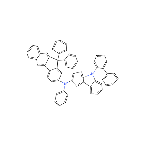 c1ccc(-c2ccccc2-n2c3ccccc3c3cc(N(c4ccccc4)c4ccc5c(c4)C(c4ccccc4)(c4ccccc4)c4cc6ccccc6cc4-5)ccc32)cc1